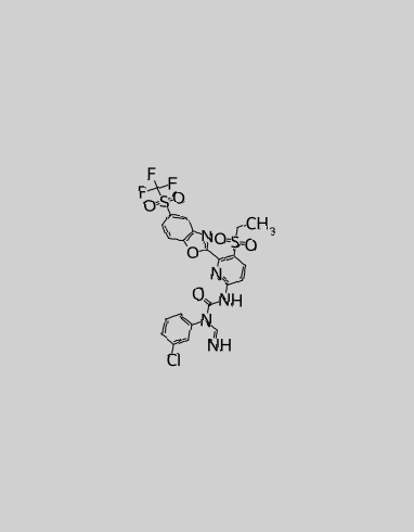 CCS(=O)(=O)c1ccc(NC(=O)N(C=N)c2cccc(Cl)c2)nc1-c1nc2cc(S(=O)(=O)C(F)(F)F)ccc2o1